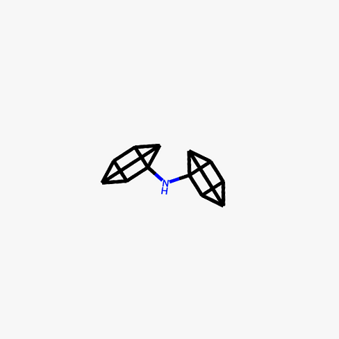 N(C12C3C4C3C1C42)C12C3C4C3C1C42